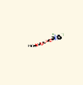 C#CCOCCOCCOCCOCCC1(CCl)N=c2ccc(Cl)cc2=N1